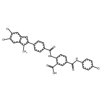 Cn1c(-c2ccc(C(=O)Nc3ccc(C(=O)Nc4ccc(Cl)cc4)cc3C(=O)O)cc2)nc2cc(Cl)c(Cl)cc21